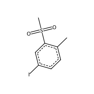 Cc1ccc(I)cc1S(C)(=O)=O